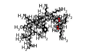 CC(C)C[C@H](NC(=O)[C@H](CCCNC(=N)N)NC(=O)[C@H](CCCNC(=N)N)NC(=O)[C@H](C)N)C(=O)N[C@@H](CCCCN)C(=O)N[C@@H](C)C(=O)N[C@H](C(=O)N[C@@H](Cc1c[nH]c2ccccc12)C(=O)N[C@@H](CCCCN)C(=O)N[C@@H](CCCCN)C(=O)N[C@H](C(=O)N[C@@H](CC(C)C)C(=O)N[C@@H](CCCCN)C(=O)N[C@@H](CCCCN)C(=O)O)C(C)C)C(C)C